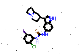 S=C(Nc1ccc2[nH]cc(C3CCN4CCCC4C3)c2c1)Nc1cc(I)ccc1Cl